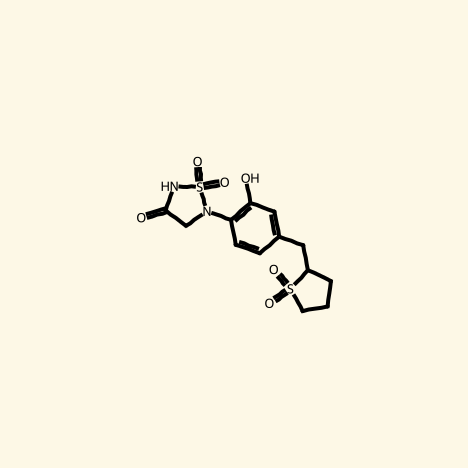 O=C1CN(c2ccc(CC3CCCS3(=O)=O)cc2O)S(=O)(=O)N1